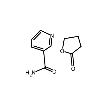 NC(=O)c1cccnc1.O=C1CCCO1